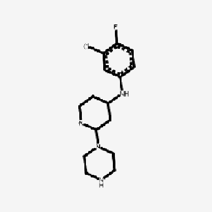 Fc1ccc(NC2CC[N]C(N3CCNCC3)C2)cc1Cl